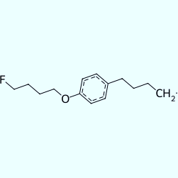 [CH2]CCCc1ccc(OCCCCF)cc1